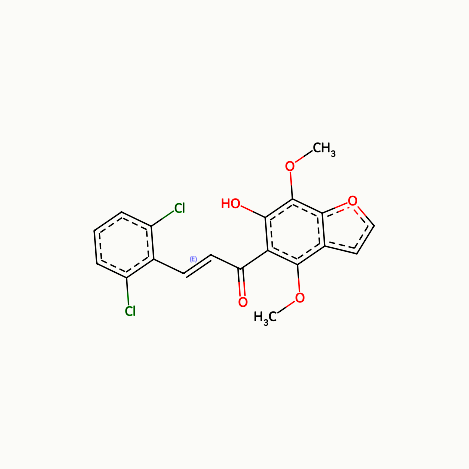 COc1c(C(=O)/C=C/c2c(Cl)cccc2Cl)c(O)c(OC)c2occc12